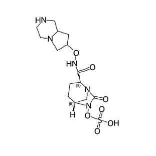 O=C(NOC1CC2CNCCN2C1)[C@@H]1CC[C@@H]2CN1C(=O)N2OS(=O)(=O)O